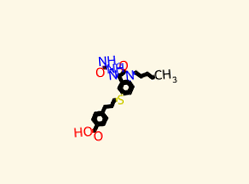 CCCCCN1C(=O)/C(=N\NC(N)=O)c2cc(SCCCc3ccc(C(=O)O)cc3)ccc21